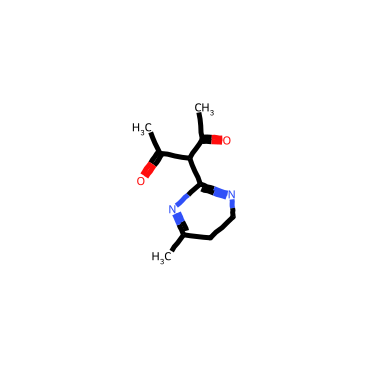 CC(=O)C(C(C)=O)C1=NCCC(C)=N1